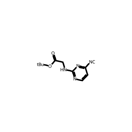 [C-]#[N+]c1ccnc(NCC(=O)OC(C)(C)C)n1